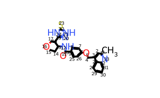 Cc1cc(COc2ccc(C(=O)NC3CCOCC3c3n[nH]c(=S)[nH]3)cc2)c2ccccc2n1